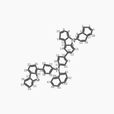 c1ccc2cc(-n3c4ccccc4c4cc(-c5ccc(N(c6ccc(-c7cccc8c7sc7ccccc78)cc6)c6cccc7ccccc67)cc5)ccc43)ccc2c1